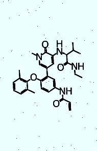 C=CC(=O)Nc1ccc(Oc2c(C)cccc2C)c(-c2cc(N[C@H](C(=O)NCC)C(C)C)c(=O)n(C)c2)c1